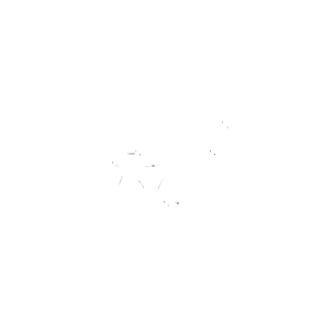 CN1CCN(CCOc2cc3nc[nH]c(=O)c3cc2[N+](=O)[O-])CC1